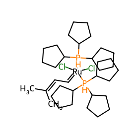 CC(C)=C[CH]=[Ru]([Cl])([Cl])([PH](C1CCCC1)(C1CCCC1)C1CCCC1)[PH](C1CCCC1)(C1CCCC1)C1CCCC1